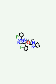 Cn1c(COc2nn3c(-c4ccccc4F)nncc3c2-c2ccccc2F)nc2ccccc21